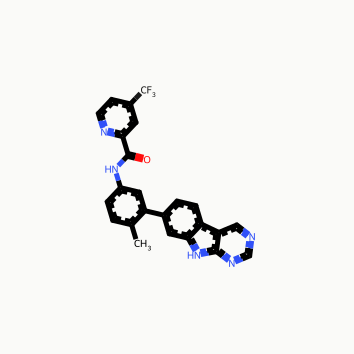 Cc1ccc(NC(=O)c2cc(C(F)(F)F)ccn2)cc1-c1ccc2c(c1)[nH]c1ncncc12